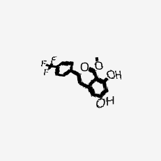 COC(=O)c1c(O)cc(O)cc1C=Cc1ccc(C(F)(F)F)cc1